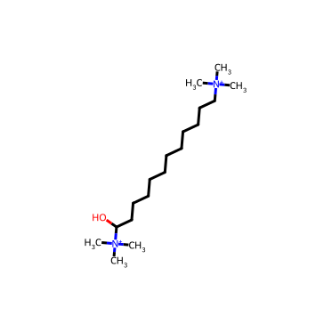 C[N+](C)(C)CCCCCCCCCCCC(O)[N+](C)(C)C